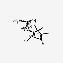 CC1=C(C)C(C)(C)C(NC(=N)N)=C1C